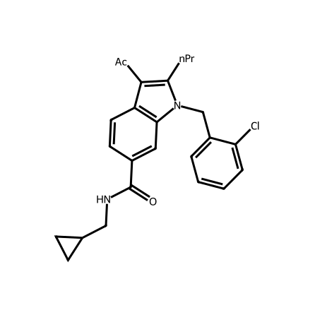 CCCc1c(C(C)=O)c2ccc(C(=O)NCC3CC3)cc2n1Cc1ccccc1Cl